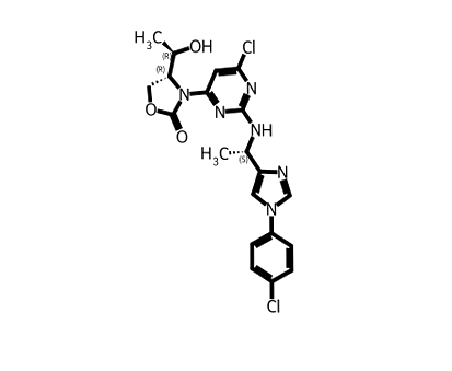 C[C@H](Nc1nc(Cl)cc(N2C(=O)OC[C@@H]2[C@@H](C)O)n1)c1cn(-c2ccc(Cl)cc2)cn1